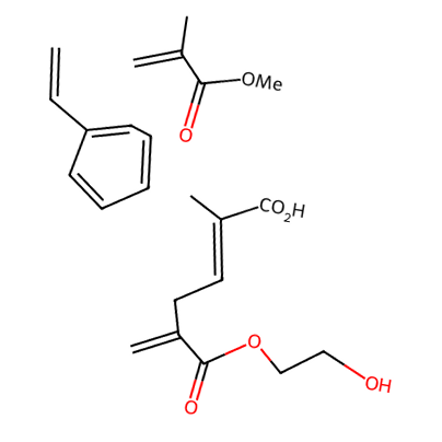 C=C(C)C(=O)OC.C=C(CC=C(C)C(=O)O)C(=O)OCCO.C=Cc1ccccc1